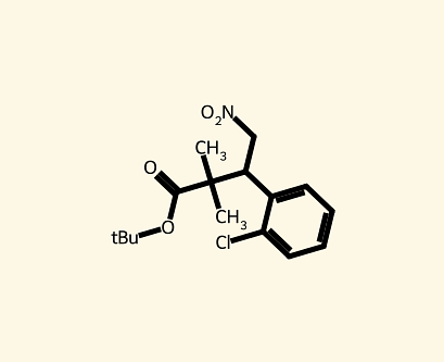 CC(C)(C)OC(=O)C(C)(C)C(C[N+](=O)[O-])c1ccccc1Cl